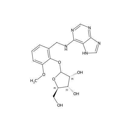 COc1cccc(CNc2ncnc3nc[nH]c23)c1OC1O[C@H](CO)[C@@H](O)[C@H]1O